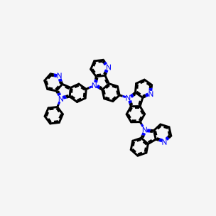 c1ccc(-n2c3ccc(-n4c5ccc(-n6c7ccc(-n8c9ccccc9c9ncccc98)cc7c7ncccc76)cc5c5ncccc54)cc3c3ncccc32)cc1